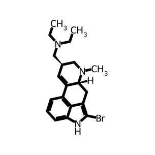 CCN(CC)C[C@@H]1C=C2c3cccc4[nH]c(Br)c(c34)C[C@H]2N(C)C1